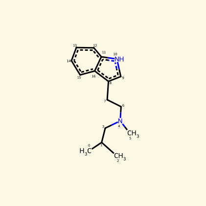 CC(C)CN(C)CCc1c[nH]c2ccccc12